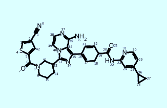 N#Cc1csc(C(=O)N2CCCC(c3nc(C4=CCC(C(=O)Nc5cc(C6CC6)ccn5)C=C4)c4c(N)nccn34)C2)c1